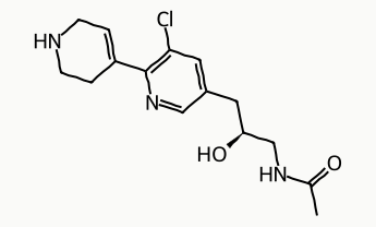 CC(=O)NC[C@@H](O)Cc1cnc(C2=CCNCC2)c(Cl)c1